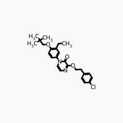 CCc1cc(-n2ccnc(OCCc3ccc(Cl)cc3)c2=O)ccc1OCC(C)(C)C